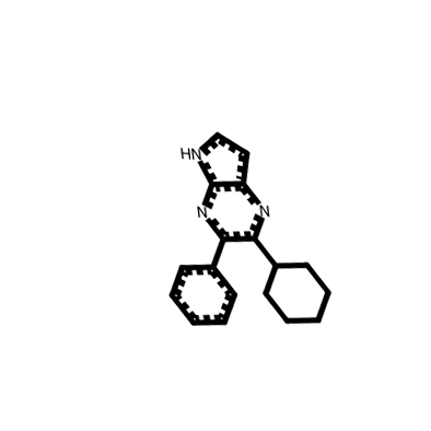 c1ccc(-c2nc3[nH]ccc3nc2C2CCCCC2)cc1